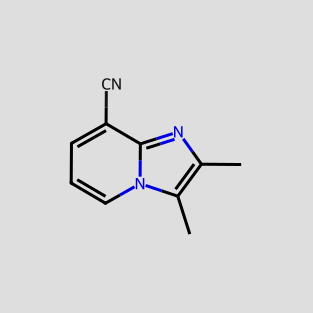 Cc1nc2c(C#N)cccn2c1C